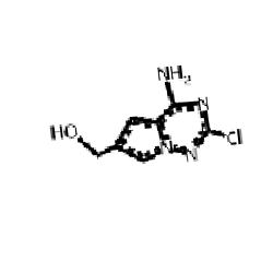 Nc1nc(Cl)nn2cc(CO)cc12